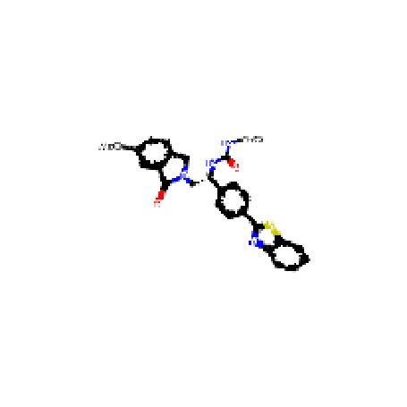 COc1ccc2c(c1)C(=O)N(C[C@H](NC(=O)NC=O)c1ccc(-c3nc4ccccc4s3)cc1)C2